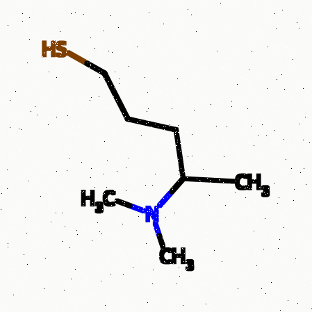 CC(CCCS)N(C)C